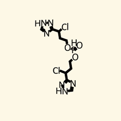 O=[PH](OCCC(Cl)c1nc[nH]n1)OCCC(Cl)c1nc[nH]n1